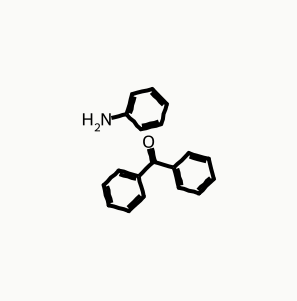 Nc1ccccc1.O=C(c1ccccc1)c1ccccc1